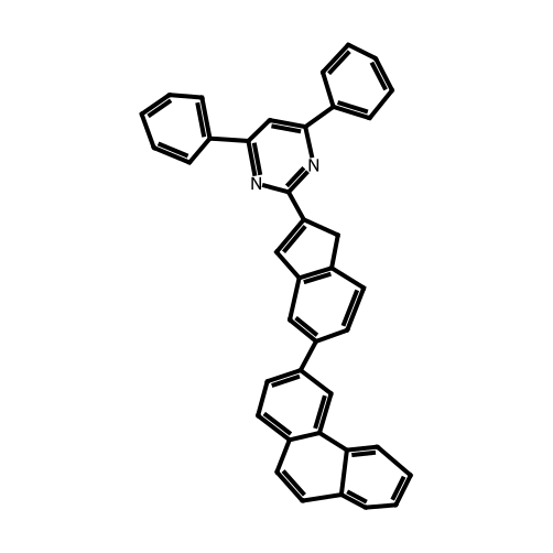 C1=C(c2nc(-c3ccccc3)cc(-c3ccccc3)n2)Cc2ccc(-c3ccc4ccc5ccccc5c4c3)cc21